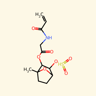 C=CC(=O)NCC(=O)OC1C(O[SH](=O)=O)C2CCC1(C)O2